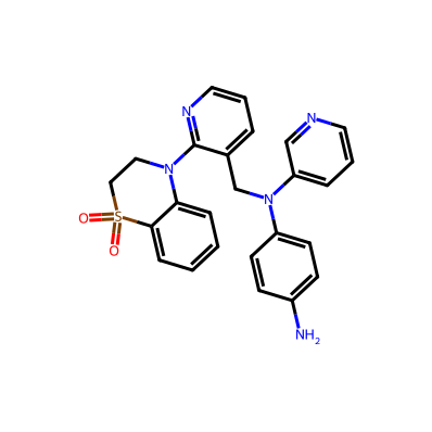 Nc1ccc(N(Cc2cccnc2N2CCS(=O)(=O)c3ccccc32)c2cccnc2)cc1